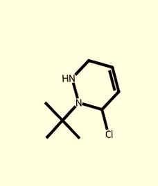 CC(C)(C)N1NCC=CC1Cl